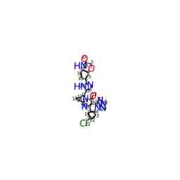 O=C1COc2cc(-c3ncc(C4C5CC5c5nc(-c6cc(Cl)ccc6-n6cnnn6)cc(=O)n54)[nH]3)ccc2N1